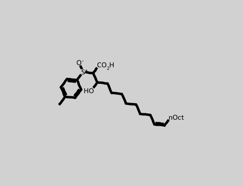 CCCCCCCC/C=C\CCCCCCCC(O)C(C(=O)O)[S+]([O-])c1ccc(C)cc1